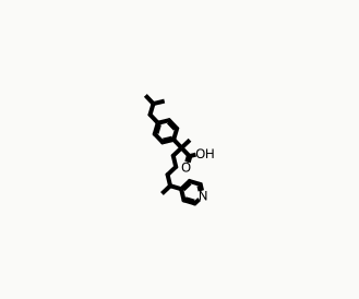 CC(C)Cc1ccc(C(C)(CCCC(C)c2ccncc2)C(=O)O)cc1